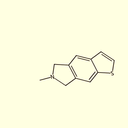 CN1Cc2cc3ccsc3cc2C1